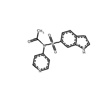 CC(=O)N(c1ccncc1)S(=O)(=O)c1ccc2cc[nH]c2c1